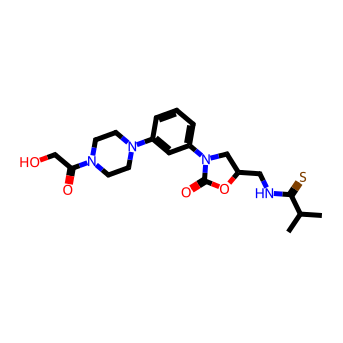 CC(C)C(=S)NCC1CN(c2cccc(N3CCN(C(=O)CO)CC3)c2)C(=O)O1